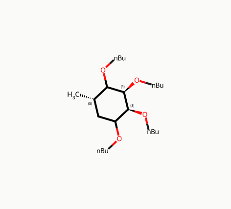 CCCCOC1[C@@H](OCCCC)[C@@H](OCCCC)C(OCCCC)C[C@@H]1C